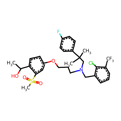 CC(O)c1ccc(OCCCN(Cc2cccc(C(F)(F)F)c2Cl)CC(C)(C)c2ccc(F)cc2)cc1S(C)(=O)=O